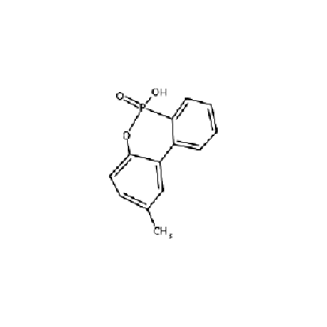 Cc1ccc2c(c1)-c1ccccc1P(=O)(O)O2